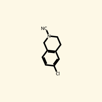 N#CN1CCc2cc(Cl)ccc2C1